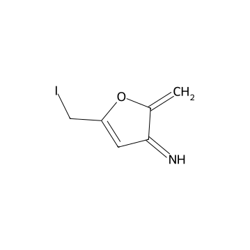 C=C1OC(CI)=CC1=N